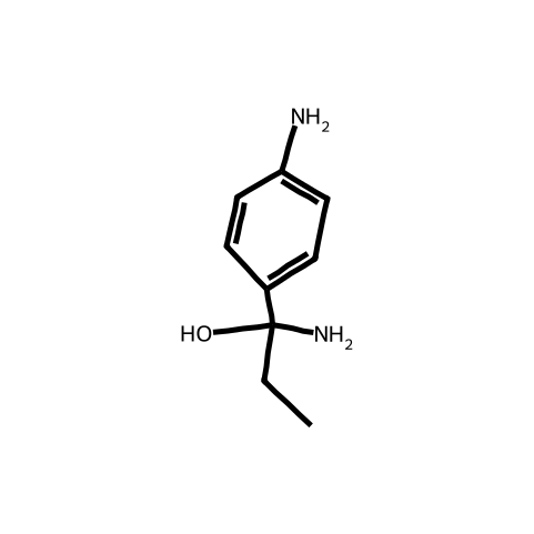 CCC(N)(O)c1ccc(N)cc1